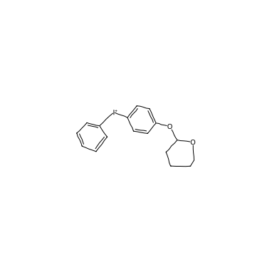 c1ccc([I+]c2ccc(OC3CCCCO3)cc2)cc1